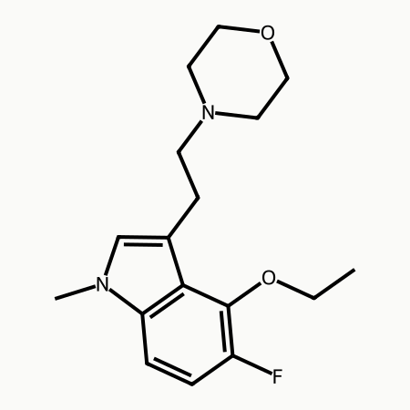 CCOc1c(F)ccc2c1c(CCN1CCOCC1)cn2C